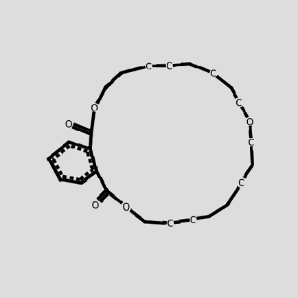 O=C1OCCCCCCCCOCCCCCCCCOC(=O)c2ccccc21